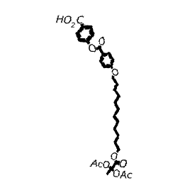 CC(=O)OC(C)(OC(C)=O)C(=O)OCCCCCCCCCCCCOc1ccc(C(=O)Oc2ccc(C(=O)O)cc2)cc1